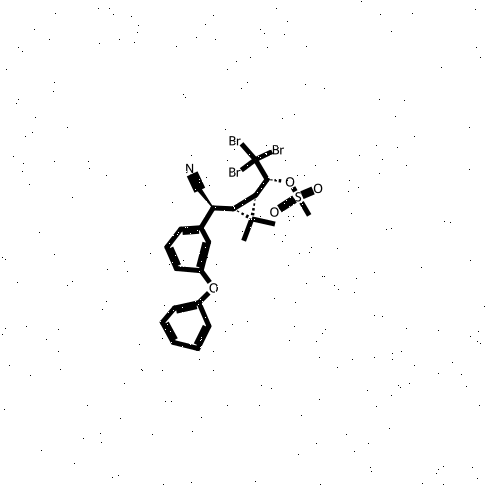 CC1(C)[C@@H]([C@@H](OS(C)(=O)=O)C(Br)(Br)Br)[C@H]1[C@H](C#N)c1cccc(Oc2ccccc2)c1